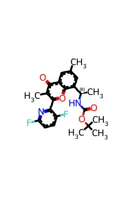 Cc1cc([C@@H](C)NC(=O)OC(C)(C)C)c2oc(-c3nc(F)ccc3F)c(C)c(=O)c2c1